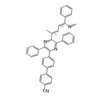 C=N/C(=C\C=C(/C)c1nc(-c2ccccc2)c(-c2ccc(-c3ccc(C#N)cc3)cc2)nc1-c1ccccc1)c1ccccc1